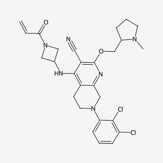 C=CC(=O)N1CC(Nc2c(C#N)c(OCC3CCCN3C)nc3c2CCN(c2cccc(Cl)c2Cl)C3)C1